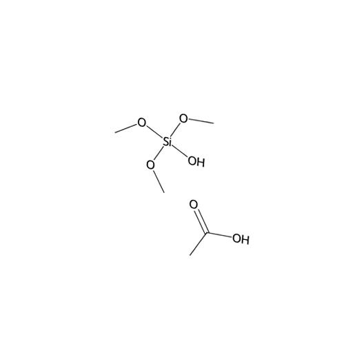 CC(=O)O.CO[Si](O)(OC)OC